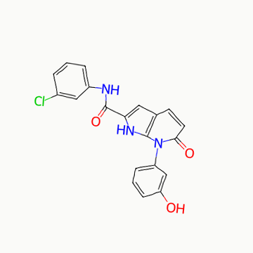 O=C(Nc1cccc(Cl)c1)c1cc2ccc(=O)n(-c3cccc(O)c3)c2[nH]1